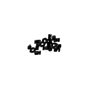 CCS(=O)(=O)c1ccc(/N=N/c2c(NCC(=O)O)ccc3c(O)c(/N=N/c4cc(OC)ccc4O)ccc23)c(S(=O)(=O)O)c1